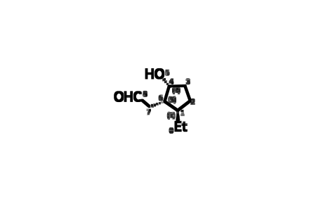 CC[C@@H]1CC[C@@H](O)[C@H]1CC=O